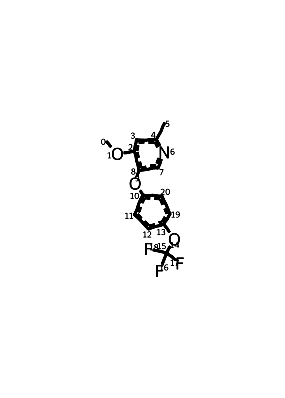 COc1cc(C)ncc1Oc1ccc(OC(F)(F)F)cc1